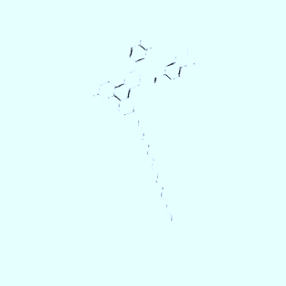 O=C(O)CCCCCCCCCCCCCCOC1CCc2c3c(c4c(c2O1)C[C@@H](OC(=O)c1cc(O)c(O)c(O)c1)[C@@H](c1cc(O)c(O)c(O)c1)O4)CCC(O)O3